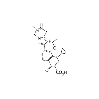 C[C@H]1Cn2cc(-c3ccc4c(=O)c(C(=O)O)cn(C5CC5)c4c3OC(F)F)cc2CN1